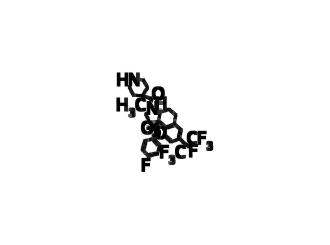 CC1(C(=O)N2CC[C@]3(S(=O)(=O)c4ccc(F)cc4)c4ccc(C(F)(C(F)(F)F)C(F)(F)F)cc4CC[C@H]23)CCNCC1